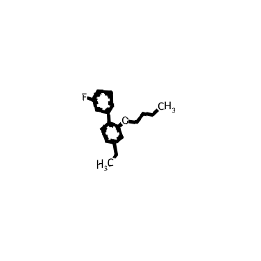 CCCCOc1cc(CC)ccc1-c1cccc(F)c1